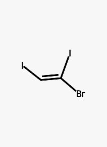 BrC(I)=CI